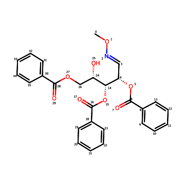 CO/N=C/[C@H](OC(=O)c1ccccc1)[C@H](OC(=O)c1ccccc1)[C@@H](O)COC(=O)c1ccccc1